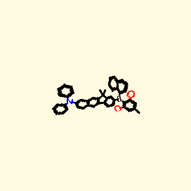 Cc1cc2c3c(c1)Oc1ccc4ccccc4c1B3c1cc3c(cc1O2)-c1cc2ccc(N(c4ccccc4)c4ccccc4)cc2cc1C3(C)C